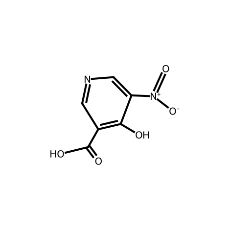 O=C(O)c1cncc([N+](=O)[O-])c1O